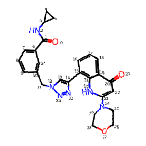 O=C(NC1CC1)c1cccc(Cn2cc(-c3cccc4c(=O)cc(N5CCOCC5)[nH]c34)nn2)c1